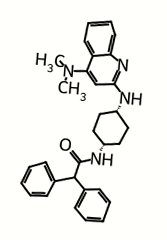 CN(C)c1cc(N[C@H]2CC[C@@H](NC(=O)C(c3ccccc3)c3ccccc3)CC2)nc2ccccc12